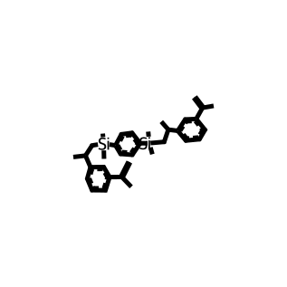 C=C(C)c1cccc(C(C)C[Si](C)(C)c2ccc([Si](C)(C)CC(C)c3cccc(C(=C)C)c3)cc2)c1